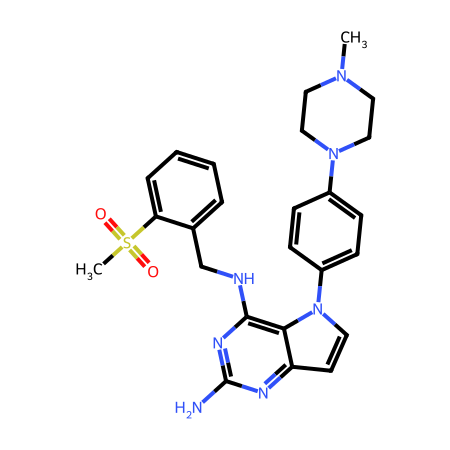 CN1CCN(c2ccc(-n3ccc4nc(N)nc(NCc5ccccc5S(C)(=O)=O)c43)cc2)CC1